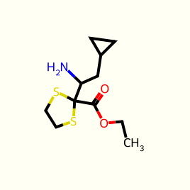 CCOC(=O)C1(C(N)CC2CC2)SCCS1